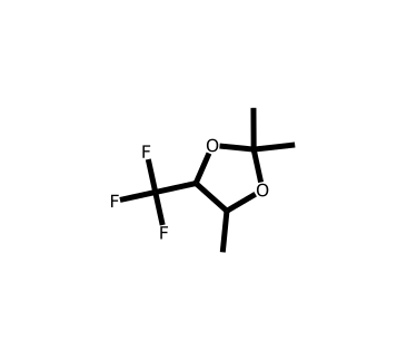 CC1OC(C)(C)OC1C(F)(F)F